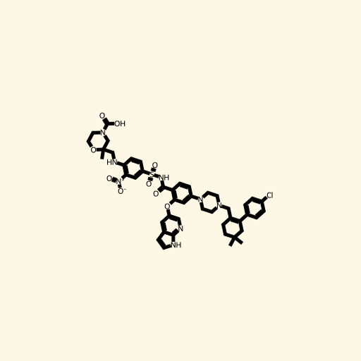 CC1(C)CCC(CN2CCN(c3ccc(C(=O)NS(=O)(=O)c4ccc(NCC5(C)CN(C(=O)O)CCO5)c([N+](=O)[O-])c4)c(Oc4cnc5[nH]ccc5c4)c3)CC2)=C(c2ccc(Cl)cc2)C1